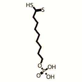 O=P(O)(O)OCCCCCCCCC(=S)S